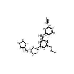 CCCc1cc(N2CC[C@H](NC3CCCC3)C2)nc(Nc2cccc(C#N)c2)n1